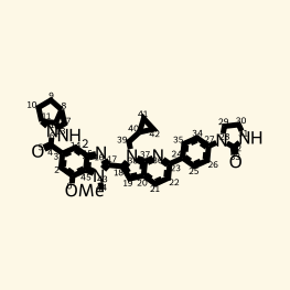 COc1cc(C(=O)N2CC3CCC2C3N)cc2nc(-c3cc4ccc(-c5ccc(N6CCNC6=O)cc5)nc4n3CC3CC3)n(C)c12